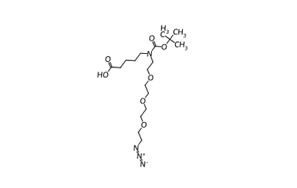 CC(C)(C)OC(=O)N(CCCCC(=O)O)CCOCCOCCOCCN=[N+]=[N-]